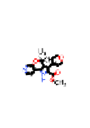 COC(=O)c1[nH]c2c(c1C1=CCOCC1)C(C)(C)Oc1cnccc1-2